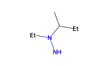 CCC(C)N([NH])CC